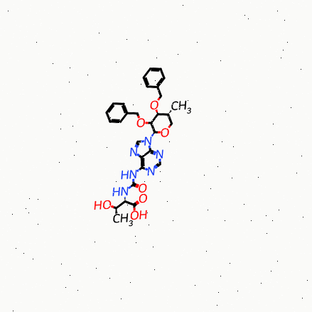 C[C@@H]1CO[C@@H](n2cnc3c(NC(=O)N[C@H](C(=O)O)[C@@H](C)O)ncnc32)C(OCc2ccccc2)[C@H]1OCc1ccccc1